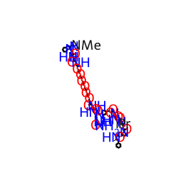 CNNCc1cc2ccccc2n1CCC(=O)NCC(=O)NCCOCCOCCOCCOCCOCCOCCC(=O)NCC(=O)N[C@@H](CCCNC(N)=O)C(=O)Nc1ccc(COC(=O)N(C)CC(=O)N[C@H](C(=O)N(C)CCCC(=O)N2CCC[C@H]2C[C@@H](C)C(=O)N[C@H](C)Cc2ccccc2)C(C)C)cc1